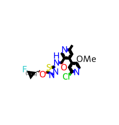 COc1cnc(Cl)cc1-c1cc(C)ncc1C(=O)Nc1nnc(OC[C@@H]2C[C@@H]2F)s1